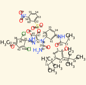 CCC(Oc1ccc(C(C)(C)CC)cc1C(C)(C)CC)C(=O)Nc1cccc(N(C(N)=O)c2[nH]n(-c3c(Cl)cc(OC)cc3Cl)c(=O)c2OS(=O)(=O)c2cccc([N+](=O)[O-])c2)c1